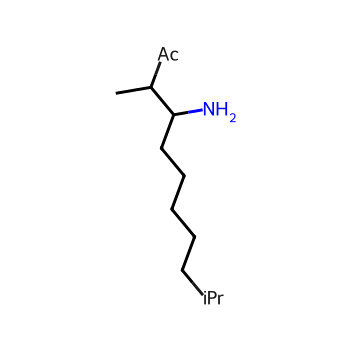 CC(=O)C(C)C(N)CCCCCC(C)C